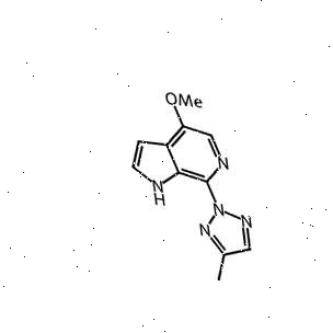 COc1cnc(-n2ncc(C)n2)c2[nH]ccc12